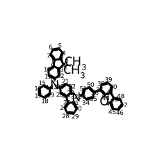 CC1(C)c2ccccc2-c2ccc(N(c3ccccc3)c3ccc4c(c3)c3ccccc3n4-c3ccc(-c4cccc5c4oc4ccccc45)cc3)cc21